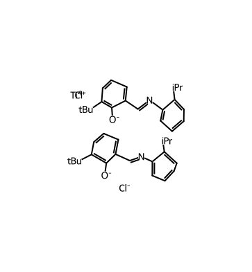 CC(C)c1ccccc1N=Cc1cccc(C(C)(C)C)c1[O-].CC(C)c1ccccc1N=Cc1cccc(C(C)(C)C)c1[O-].[Cl-].[Cl-].[Ti+4]